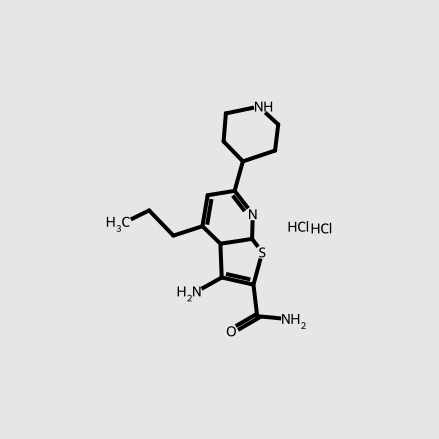 CCCC1=CC(C2CCNCC2)=NC2SC(C(N)=O)=C(N)C12.Cl.Cl